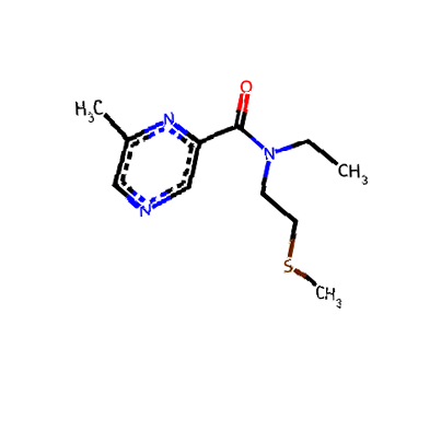 CCN(CCSC)C(=O)c1cncc(C)n1